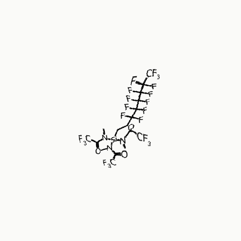 CN(C(=O)C(F)(F)F)[Si](CCC(F)(F)C(F)(F)C(F)(F)C(F)(F)C(F)(F)C(F)(F)F)(N(C)C(=O)C(F)(F)F)N(C)C(=O)C(F)(F)F